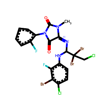 CN1C(=O)N(c2ccccc2F)C(=O)/C1=N\C(Nc1ccc(Cl)c(Br)c1F)C(Br)(Br)CCl